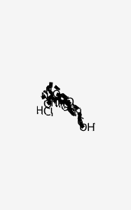 CCCN1CC2=C(C(=O)NC2c2cc(S(=O)(=O)N3CCN(CCCCO)CC3)ccc2OCC)N(C)C1.Cl